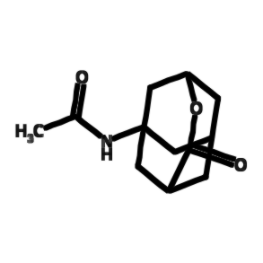 CC(=O)NC12CC3CC(C1)OC(=O)C(C3)C2